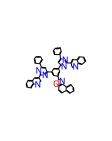 c1ccc(-c2cc(-c3cc(-c4cc(-c5ccccc5)nc(-c5cnc6ccccc6c5)n4)cc(-c4nc5c(ccc6ccccc65)o4)c3)nc(-c3cnc4ccccc4c3)n2)cc1